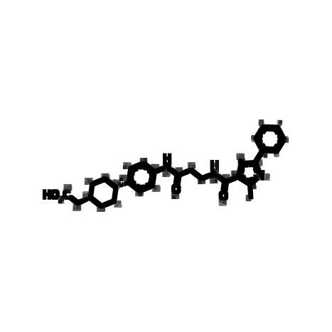 Cc1nc(-c2ccccc2)sc1C(=O)NCCC(=O)Nc1ccc([C@H]2CC[C@H](CC(=O)O)CC2)cc1